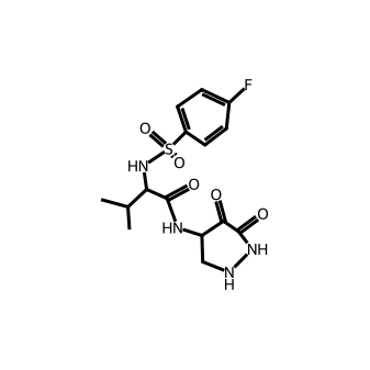 CC(C)C(NS(=O)(=O)c1ccc(F)cc1)C(=O)NC1CNNC(=O)C1=O